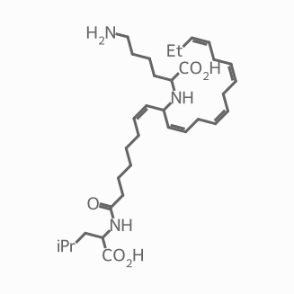 CC/C=C\C/C=C\C/C=C\C/C=C\C(/C=C\CCCCCC(=O)NC(CC(C)C)C(=O)O)NC(CCCCN)C(=O)O